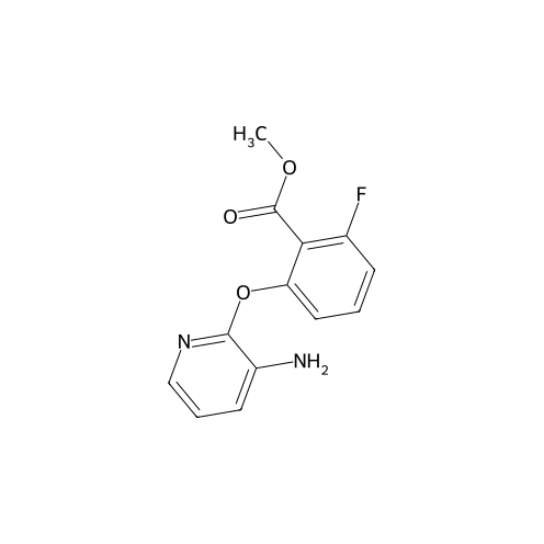 COC(=O)c1c(F)cccc1Oc1ncccc1N